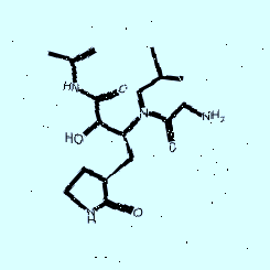 CC(C)CN(C(=O)CN)[C@@H](C[C@@H]1CCNC1=O)C(O)C(=O)NC(C)C